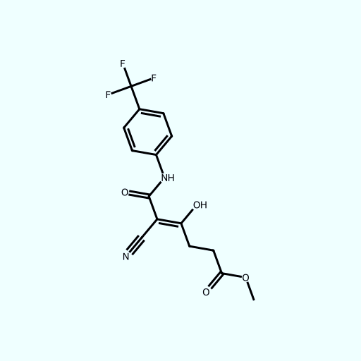 COC(=O)CCC(O)=C(C#N)C(=O)Nc1ccc(C(F)(F)F)cc1